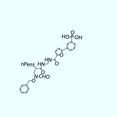 CCCCCC(CN(C=O)OCc1ccccc1)C(=O)NCNC(=O)c1ccc(-c2cccc(P(=O)(O)O)c2)o1